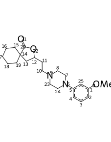 COc1cccc(N2CCN(CCC3CC4(CCCCC4)C(=O)O3)CC2)c1